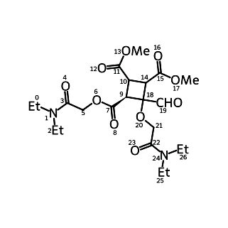 CCN(CC)C(=O)COC(=O)[C@H]1C(C(=O)OC)C(C(=O)OC)C1(C=O)OCC(=O)N(CC)CC